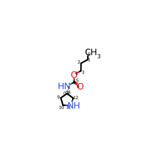 CCCCOC(=O)N[C@H]1CCNC1